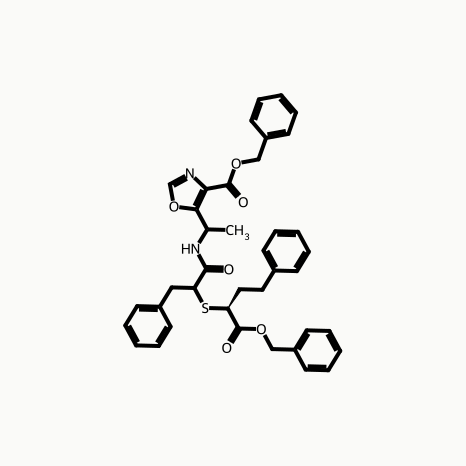 CC(NC(=O)C(Cc1ccccc1)S[C@@H](CCc1ccccc1)C(=O)OCc1ccccc1)c1ocnc1C(=O)OCc1ccccc1